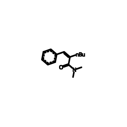 CCCCC(=Cc1ccccc1)C(=O)N(C)C